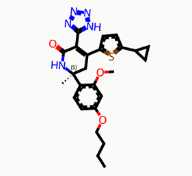 CCCCOc1ccc([C@]2(C)CC(c3ccc(C4CC4)s3)=C(c3nnn[nH]3)C(=O)N2)c(OC)c1